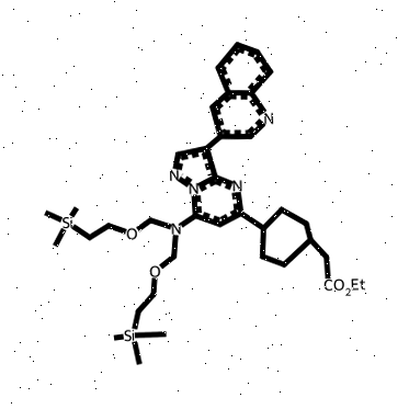 CCOC(=O)CC1CCC(c2cc(N(COCC[Si](C)(C)C)COCC[Si](C)(C)C)n3ncc(-c4cnc5ccccc5c4)c3n2)CC1